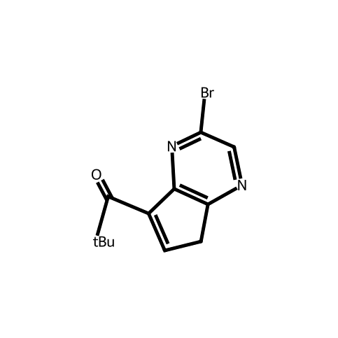 CC(C)(C)C(=O)C1=CCc2ncc(Br)nc21